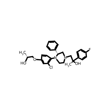 C[C@@H](O)COc1ccc(N2CCN(C[C@@](C)(O)c3ccc(F)cc3)C[C@H]2c2ccccc2)c(Cl)c1